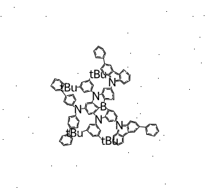 CC(C)(C)c1cc(N2c3cc(-n4c5ccccc5c5cc(-c6ccccc6)ccc54)ccc3B3c4ccc(-n5c6ccccc6c6cc(-c7ccccc7)ccc65)cc4N(c4cc(C(C)(C)C)cc(C(C)(C)C)c4)c4cc(N(c5ccc(-c6ccccc6)cc5)c5ccc(-c6ccccc6)cc5)cc2c43)cc(C(C)(C)C)c1